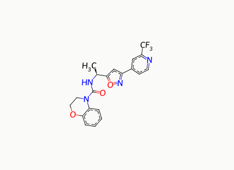 C[C@H](NC(=O)N1CCOc2ccccc21)c1cc(-c2ccnc(C(F)(F)F)c2)no1